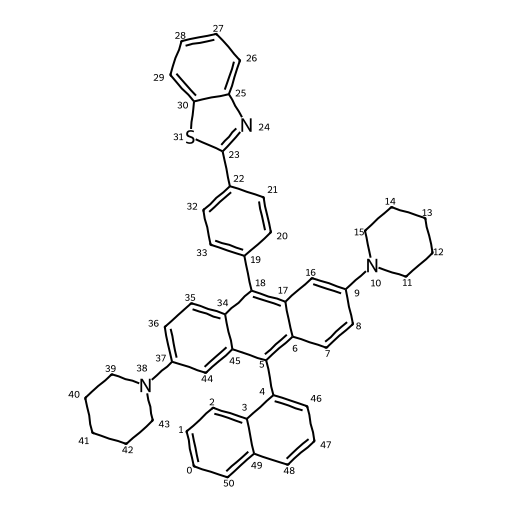 c1ccc2c(-c3c4ccc(N5CCCCC5)cc4c(-c4ccc(-c5nc6ccccc6s5)cc4)c4ccc(N5CCCCC5)cc34)cccc2c1